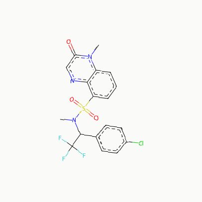 CN(C(c1ccc(Cl)cc1)C(F)(F)F)S(=O)(=O)c1cccc2c1ncc(=O)n2C